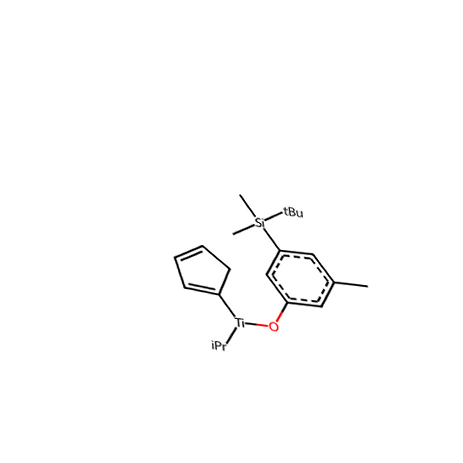 Cc1cc([O][Ti]([C]2=CC=CC2)[CH](C)C)cc([Si](C)(C)C(C)(C)C)c1